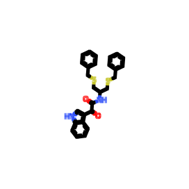 O=C(NC(CSCc1ccccc1)CSCc1ccccc1)C(=O)c1c[nH]c2ccccc12